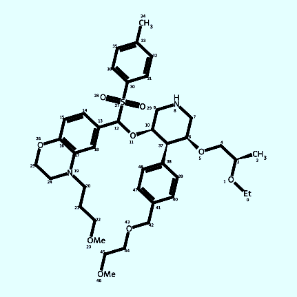 CCO[C@H](C)CO[C@@H]1CNC[C@H](OC(c2ccc3c(c2)N(CCCOC)CCO3)S(=O)(=O)c2ccc(C)cc2)[C@@H]1c1ccc(COCCOC)cc1